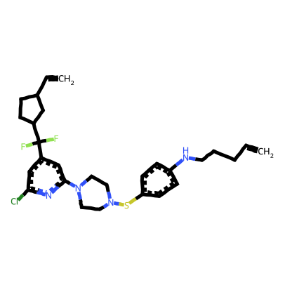 C=CCCCNc1ccc(SN2CCN(c3cc(C(F)(F)C4CCC(C=C)C4)cc(Cl)n3)CC2)cc1